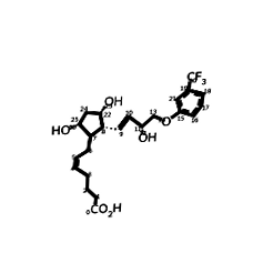 O=C(O)CCC/C=C\CC1[C@@H](/C=C/[C@@H](O)COc2cccc(C(F)(F)F)c2)[C@H](O)C[C@@H]1O